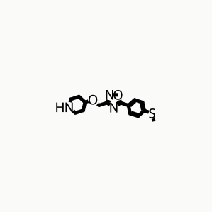 CSc1ccc(-c2nc(COC3CCNCC3)no2)cc1